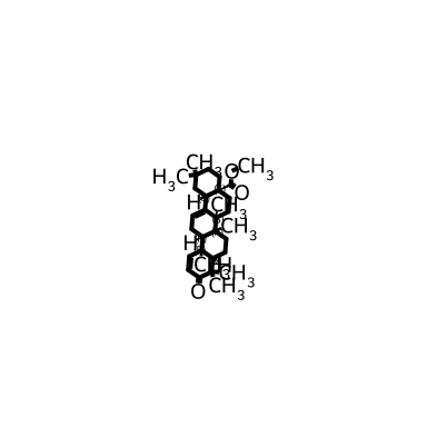 COC(=O)[C@]12CCC(C)(C)C[C@H]1C1=CC[C@@H]3[C@@]4(C)C=CC(=O)C(C)(C)[C@@H]4CC[C@@]3(C)[C@]1(C)CC2